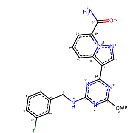 COc1nc(NCc2cccc(F)c2)nc(-c2cnn3c(C(N)=O)cccc23)n1